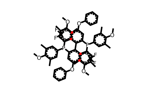 COc1c(C)cc(P(c2cc(C)c(OC)c(C)c2)c2cc(Oc3ccccc3)c3c(c2-c2c(P(c4cc(C)c(OC)c(C)c4)c4cc(C)c(OC)c(C)c4)cc(Oc4ccccc4)c4c2OC(F)(F)O4)OC(F)(F)O3)cc1C